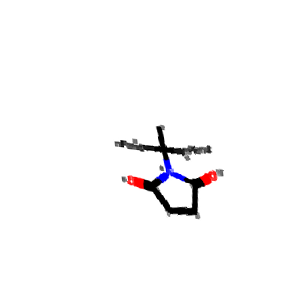 CCCCCC(C)(CCCCC)N1C(=O)CCC1=O